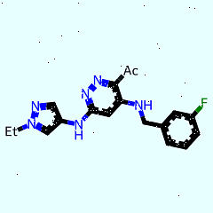 CCn1cc(Nc2cc(NCc3cccc(F)c3)c(C(C)=O)nn2)cn1